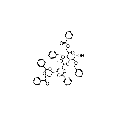 COC(OC1C(OCc2ccccc2)C(O)OC(COC(=O)c2ccccc2)C1OCc1ccccc1)C(/C=C/[C@@H](COC(=O)c1ccccc1)OC(=O)c1ccccc1)OC(=O)c1ccccc1